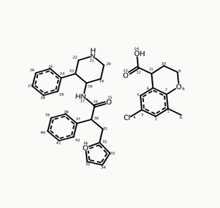 Cc1cc(Cl)cc2c1OCCC2C(=O)O.O=C(NC1CCNCC1c1ccccc1)C(Cc1ccco1)c1ccccc1